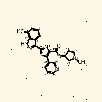 Cc1cccc2c(-c3nc(C(=O)OC4CCN(C)C4)c(-c4cccnc4)s3)n[nH]c12